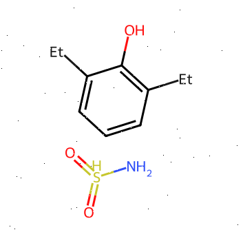 CCc1cccc(CC)c1O.N[SH](=O)=O